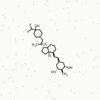 C=C1[C@H](O)CC(=CC=C2CCC[C@]3(C)[C@@H](C(C)CN4CCC(O)(C(F)F)CC4)CC[C@@H]23)C[C@H]1O